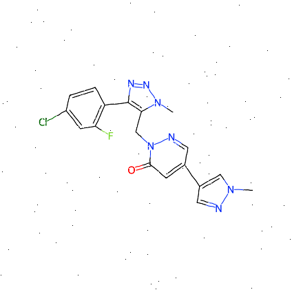 Cn1cc(-c2cnn(Cc3c(-c4ccc(Cl)cc4F)nnn3C)c(=O)c2)cn1